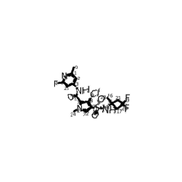 Cc1cc(NC(=O)c2c(Cl)c(S(=O)(=O)NC3(C)CC(F)(F)C3)cn2C)cc(F)n1